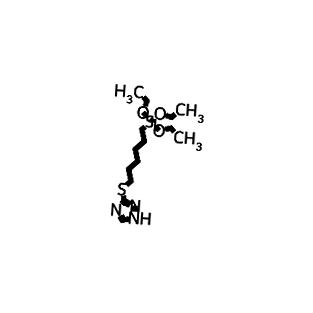 CCO[Si](CCCCCCSc1nc[nH]n1)(OCC)OCC